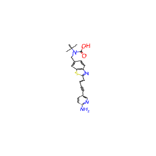 CC(C)(C)N(Cc1ccc2nc(C=CC#Cc3ccc(N)nc3)sc2c1)C(=O)O